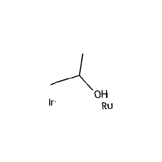 CC(C)O.[Ir].[Ru]